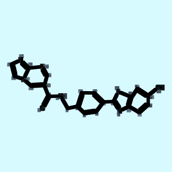 O=C(NCc1ccc(-c2nc3ccc(O)cc3s2)cc1)c1cnc2nccn2c1